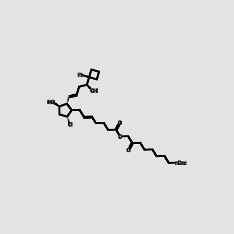 CCCCCCCCCCCCCCCCC(=O)COC(=O)CCCC=CC[C@@H]1[C@@H](C=CC[C@H](O)C2(CC)CCC2)[C@H](O)C[C@H]1Cl